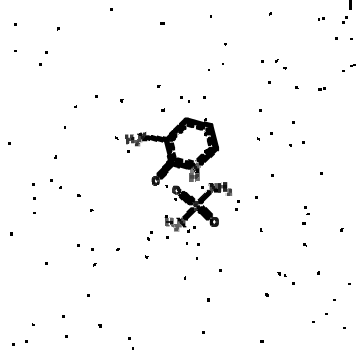 NS(N)(=O)=O.Nc1ccc[nH]c1=O